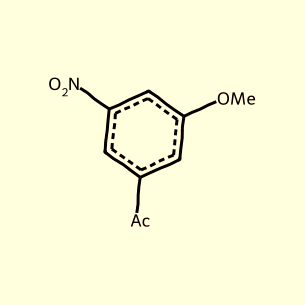 COc1cc(C(C)=O)cc([N+](=O)[O-])c1